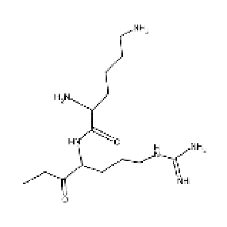 CCC(=O)C(CCCNC(=N)N)NC(=O)C(N)CCCCN